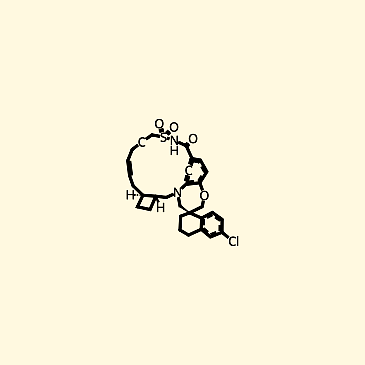 O=C1NS(=O)(=O)CCC/C=C/C[C@@H]2CC[C@H]2CN2C[C@@]3(CCCc4cc(Cl)ccc43)COc3ccc1cc32